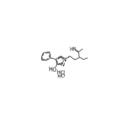 CCC(CCn1cc(-c2ccccc2)c(O)n1)C(C)=N.Cl.Cl